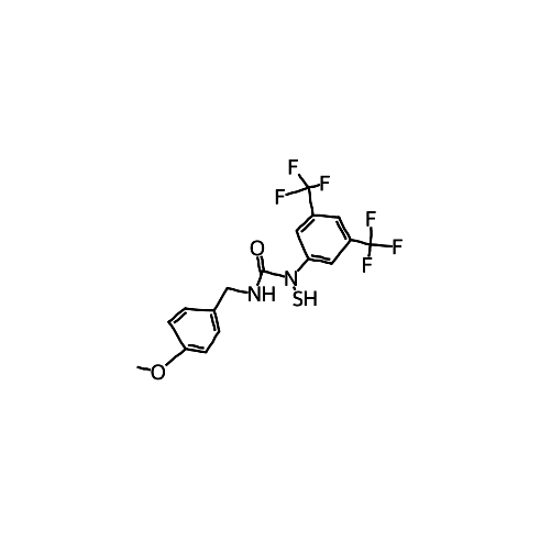 COc1ccc(CNC(=O)N(S)c2cc(C(F)(F)F)cc(C(F)(F)F)c2)cc1